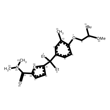 CCC(CC)(c1ccc(OCC(OC)C(C)(C)C)c(C)c1)c1ccc(C(=O)N(C)C)o1